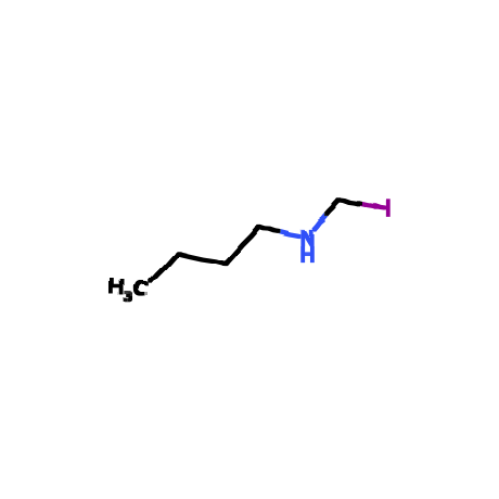 CCCCNCI